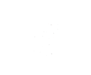 COc1c(C)c(/C=C2\CCOC2=O)c(OC)c(OC)c1OC